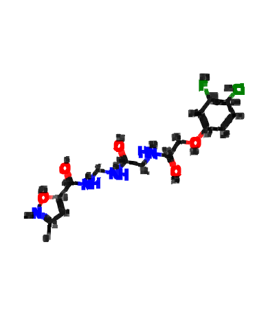 Cc1cc(C(=O)NCNC(=O)CNC(=O)COc2ccc(Cl)c(F)c2)on1